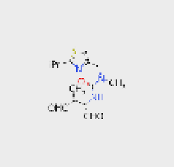 CC(C)c1nc(CN(C)C(=O)N[C@H](C=O)C(C)C=O)cs1